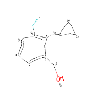 O[CH]c1cccc(F)c1C1CC1